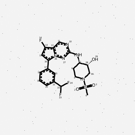 CS(=O)(=O)N1CC[C@@H](Nc2ncc3c(F)cc(-c4cccc(C(F)F)c4)n3n2)[C@H](O)C1